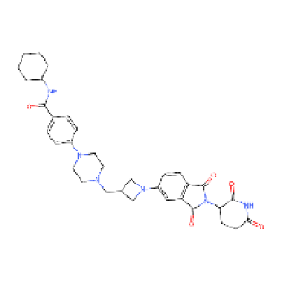 O=C1CCC(N2C(=O)c3ccc(N4CC(CN5CCN(c6ccc(C(=O)NC7CCCCC7)cc6)CC5)C4)cc3C2=O)C(=O)N1